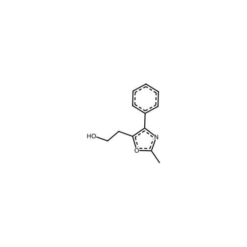 Cc1nc(-c2ccccc2)c(CCO)o1